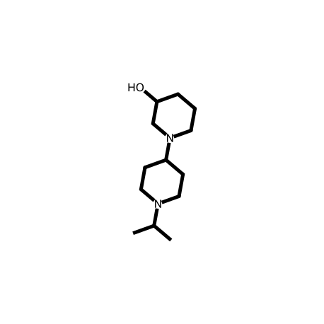 CC(C)N1CCC(N2CCCC(O)C2)CC1